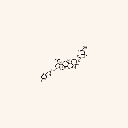 C=C(C)[C@@H]1C[C@@H](CCNCc2ccc(C)cc2)C2CC[C@]3(C)[C@H](CC[C@@H]4[C@@]5(C)CC[C@H](OC(=O)CC(C)(C)CC(=O)O)C(C)(C)[C@@H]5CC[C@]43C)[C@H]21